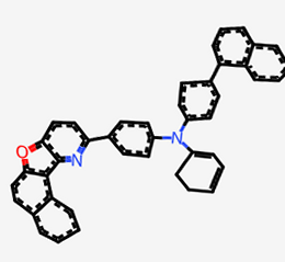 C1=CCCC(N(c2ccc(-c3ccc4oc5ccc6ccccc6c5c4n3)cc2)c2ccc(-c3cccc4ccccc34)cc2)=C1